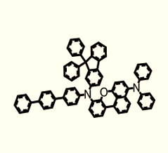 c1ccc(-c2ccc(-c3ccc(N(c4ccc5c(c4)C(c4ccccc4)(c4ccccc4)c4ccccc4-5)c4cccc5c4Oc4ccc(N(c6ccccc6)c6ccccc6)c6cccc-5c46)cc3)cc2)cc1